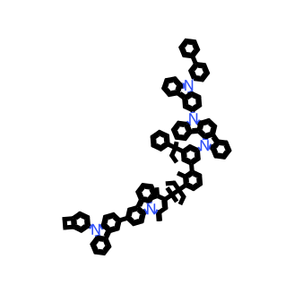 C=C(/C=C(\C(C)C)C(C)(C)C(CC)(CC)c1cccc(-c2cc(-n3c4ccccc4c4ccc5c(c6ccccc6n5-c5ccc6c(c5)c5ccccc5n6-c5cccc(-c6ccccc6)c5)c43)cc(C(C)(CC)c3ccccc3)c2)c1C)n1c2ccccc2c2cc(-c3ccc4c(c3)c3ccccc3n4-c3ccc4c(c3)CC4)ccc21